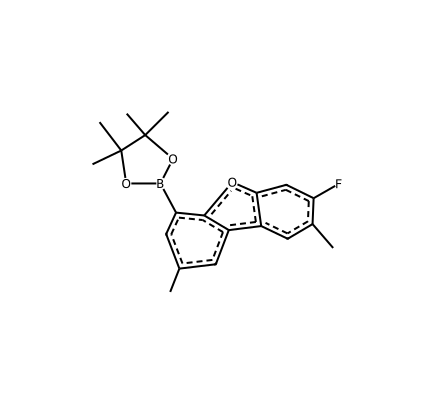 Cc1cc(B2OC(C)(C)C(C)(C)O2)c2oc3cc(F)c(C)cc3c2c1